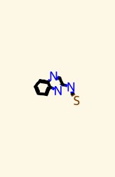 S=C=Nc1cnc2ccccc2n1